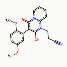 COc1ccc(OC)c(-c2c(O)n(CCC#N)c3cccc[n+]3c2=O)c1